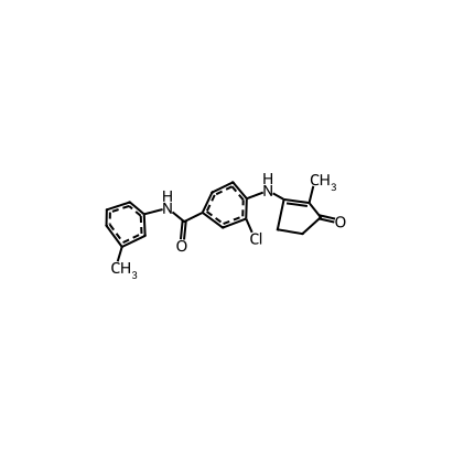 CC1=C(Nc2ccc(C(=O)Nc3cccc(C)c3)cc2Cl)CCC1=O